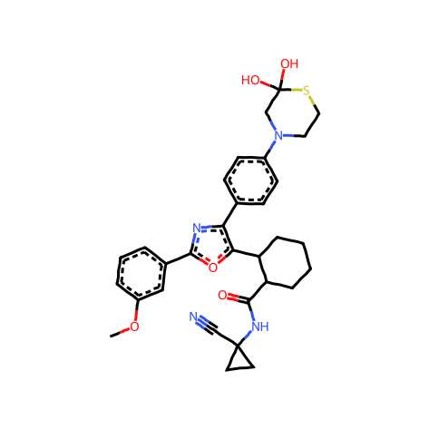 COc1cccc(-c2nc(-c3ccc(N4CCSC(O)(O)C4)cc3)c(C3CCCCC3C(=O)NC3(C#N)CC3)o2)c1